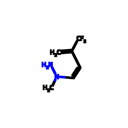 C=C(/C=C\N(C)N)C(F)(F)F